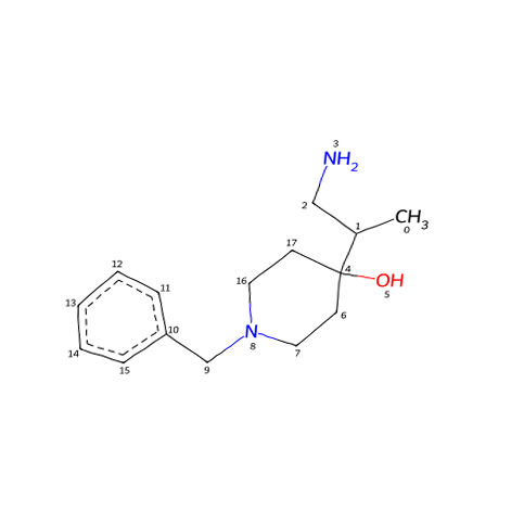 CC(CN)C1(O)CCN(Cc2ccccc2)CC1